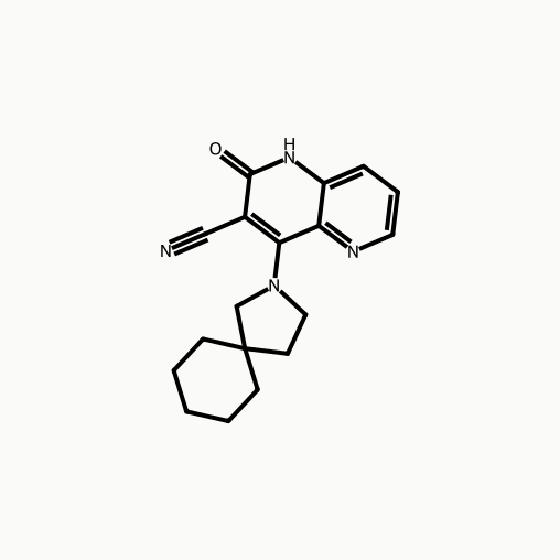 N#Cc1c(N2CCC3(CCCCC3)C2)c2ncccc2[nH]c1=O